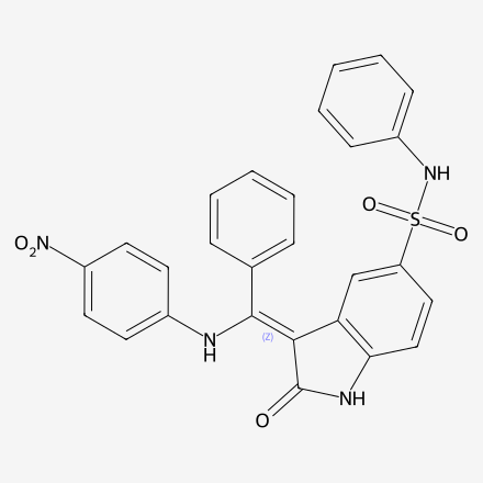 O=C1Nc2ccc(S(=O)(=O)Nc3ccccc3)cc2/C1=C(/Nc1ccc([N+](=O)[O-])cc1)c1ccccc1